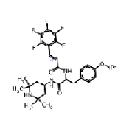 CC(C)Oc1ccc(CC(NC(=O)/C=C/c2c(F)c(F)c(F)c(F)c2F)C(=O)NC2CC(C)(C)NC(C)(C)C2)cc1